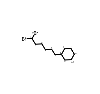 BrC(Br)CCCCCC1CCCCC1